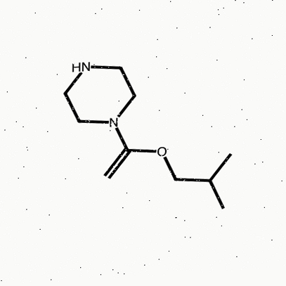 C=C(OCC(C)C)N1CCNCC1